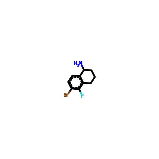 NC1CCCc2c1ccc(Br)c2F